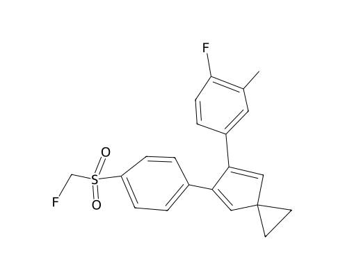 Cc1cc(C2=CC3(C=C2c2ccc(S(=O)(=O)CF)cc2)CC3)ccc1F